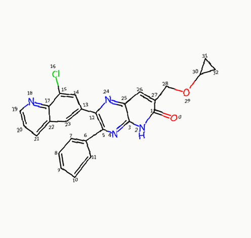 O=c1[nH]c2nc(-c3ccccc3)c(-c3cc(Cl)c4ncccc4c3)nc2cc1COC1CC1